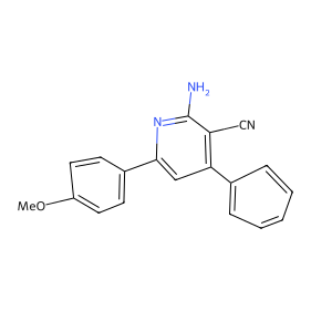 COc1ccc(-c2cc(-c3ccccc3)c(C#N)c(N)n2)cc1